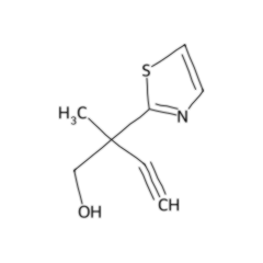 C#CC(C)(CO)c1nccs1